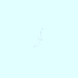 Cc1[nH]c(/C=C2\C(=O)Nc3cc(NC(=O)Nc4cc(C(C)(C)C)on4)ccc32)c(C)c1NC(=O)CCCl